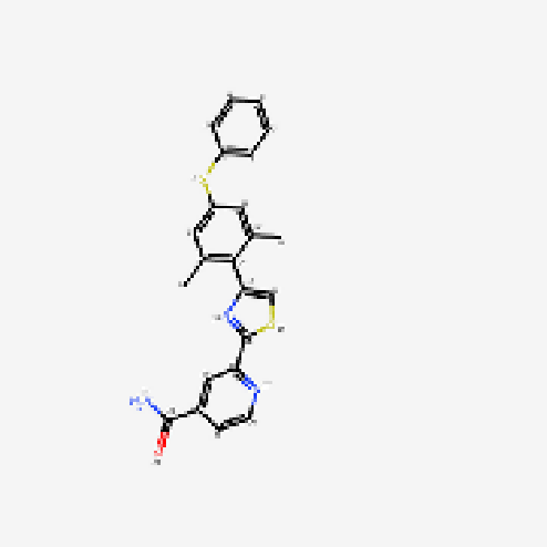 Cc1cc(Sc2ccccc2)cc(C)c1-c1csc(-c2cc(C(N)=O)ccn2)n1